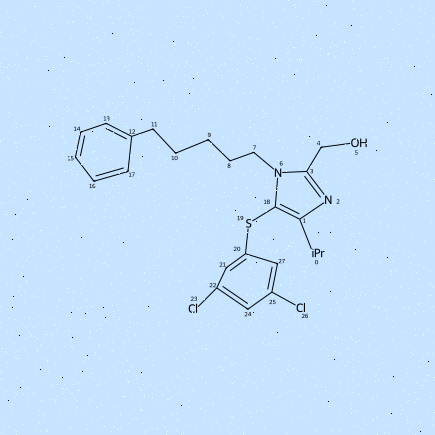 CC(C)c1nc(CO)n(CCCCCc2ccccc2)c1Sc1cc(Cl)cc(Cl)c1